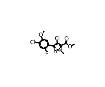 COC(=O)c1c(Cl)c(-c2cc(OC)c(Cl)cc2F)nn1C